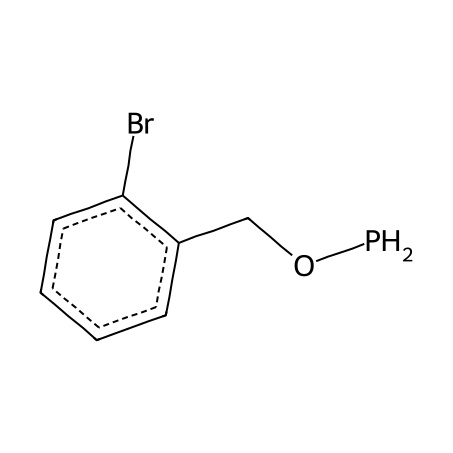 POCc1ccccc1Br